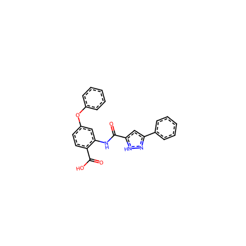 O=C(Nc1cc(Oc2ccccc2)ccc1C(=O)O)c1cc(-c2ccccc2)n[nH]1